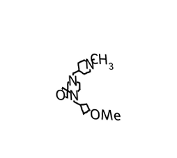 COC1CC(CN2CCN(CC3CCN(C)CC3)CC23COC3)C1